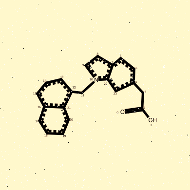 O=C(O)Cc1ccc2ccn(Cc3cccc4ccccc34)c2c1